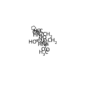 C=C[C@@H]1C[C@]1(NC(=O)[C@@H]1C[C@H](O)CN1C(=O)[C@@H](NC(=O)OC1CCCC1)C(=C)C)C(=O)OC